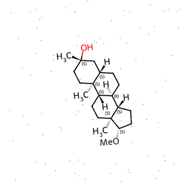 CO[C@H]1CC[C@H]2[C@@H]3CC[C@H]4C[C@@](C)(O)CC[C@]4(C)[C@H]3CC[C@]12C